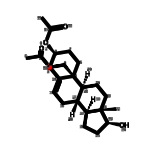 CC(=O)OC[C@]12CC[C@H](OC(C)=O)CC1=CC[C@@H]1[C@@H]2CC[C@]2(C)[C@@H](O)CC[C@@H]12